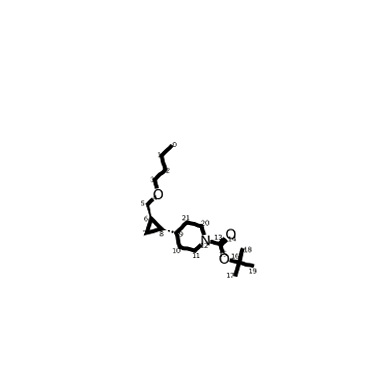 CCCCOC[C@@H]1C[C@H]1C1CCN(C(=O)OC(C)(C)C)CC1